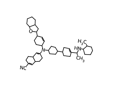 CC(NC1CCCCC1C)C1=CCC(C2CCC(N(C3=CC4CCC(C#N)=CC4CC3)C3C=CC(C4CC5CCCCC5O4)CC3)CC2)CC1